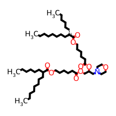 CCCCCCCCC(CCCCCC)C(=O)OCCCCCC(=O)OCC(CN1CCOCC1)OC(=O)CCCCCOC(=O)[C@@H](CCCCCC)CCCCCCCC